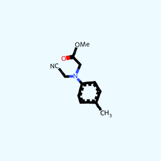 COC(=O)CN(CC#N)c1ccc(C)cc1